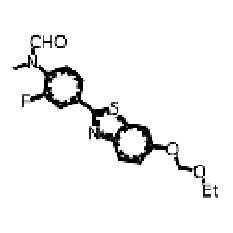 CCOCOc1ccc2nc(-c3ccc(N(C)C=O)c(F)c3)sc2c1